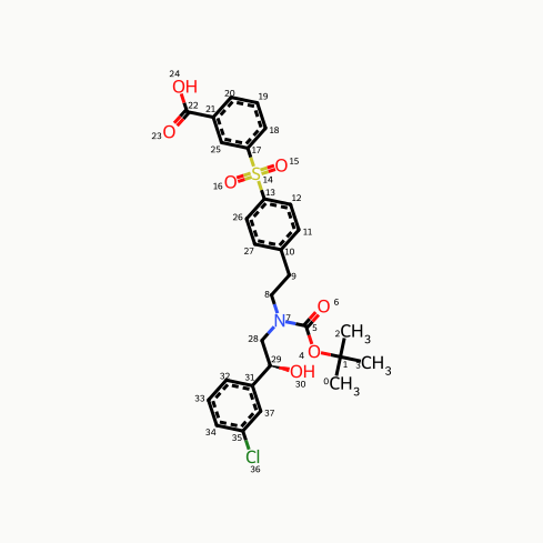 CC(C)(C)OC(=O)N(CCc1ccc(S(=O)(=O)c2cccc(C(=O)O)c2)cc1)C[C@@H](O)c1cccc(Cl)c1